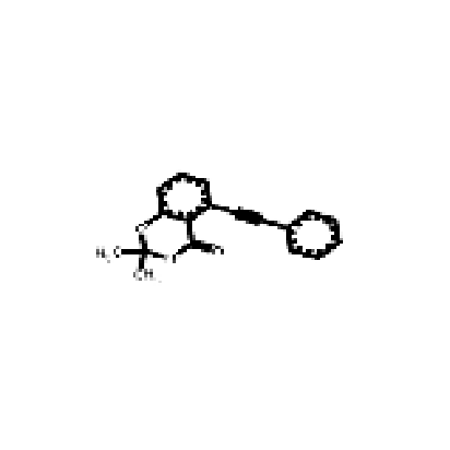 CC1(C)OC(=O)c2c(C#Cc3ccccc3)cccc2O1